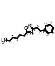 NCCCC[CH]c1nc(CCc2ccccc2)no1